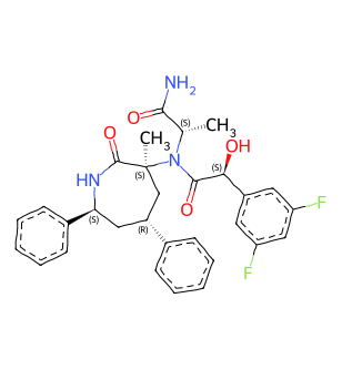 C[C@@H](C(N)=O)N(C(=O)[C@@H](O)c1cc(F)cc(F)c1)[C@@]1(C)C[C@H](c2ccccc2)C[C@@H](c2ccccc2)NC1=O